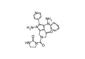 NN(c1ccccc1)c1c2c(n(N)c1-c1ccncc1)CN(C(=O)N1CCNC1=O)CC2=O